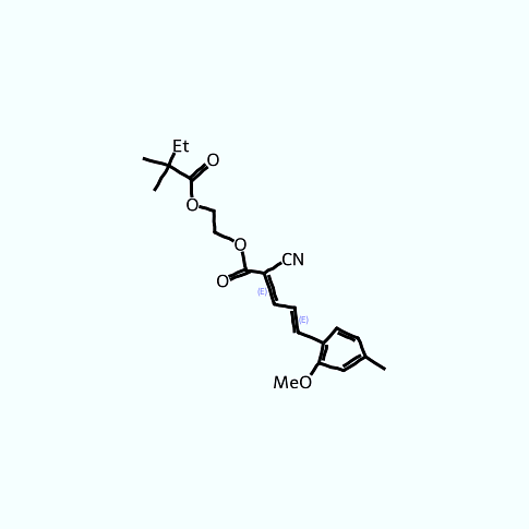 CCC(C)(C)C(=O)OCCOC(=O)/C(C#N)=C/C=C/c1ccc(C)cc1OC